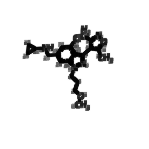 COCCCn1nc(-c2c(C)noc2C)c2c(Cl)cc(CNC3CC3)cc21